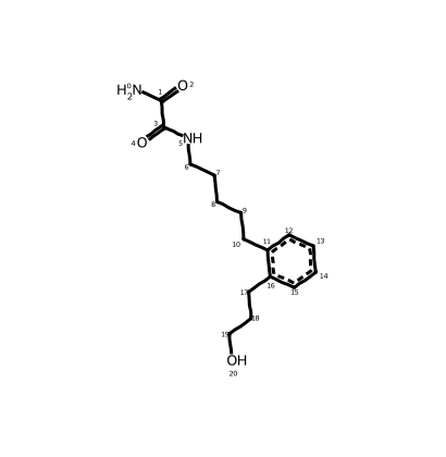 NC(=O)C(=O)NCCCCCc1ccccc1CCCO